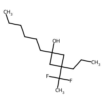 CCCCCCC1(O)CC(CCC)(C(C)(F)F)C1